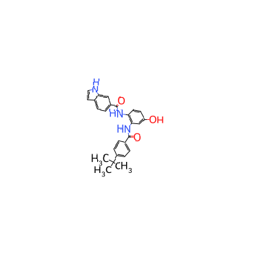 CC(C)(C)c1ccc(C(=O)Nc2cc(O)ccc2NC(=O)c2ccc3cc[nH]c3c2)cc1